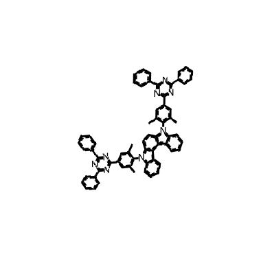 Cc1cc(-c2nc(-c3ccccc3)nc(-c3ccccc3)n2)cc(C)c1-n1c2ccccc2c2c3c4ccccc4n(-c4c(C)cc(-c5nc(-c6ccccc6)nc(-c6ccccc6)n5)cc4C)c3ccc21